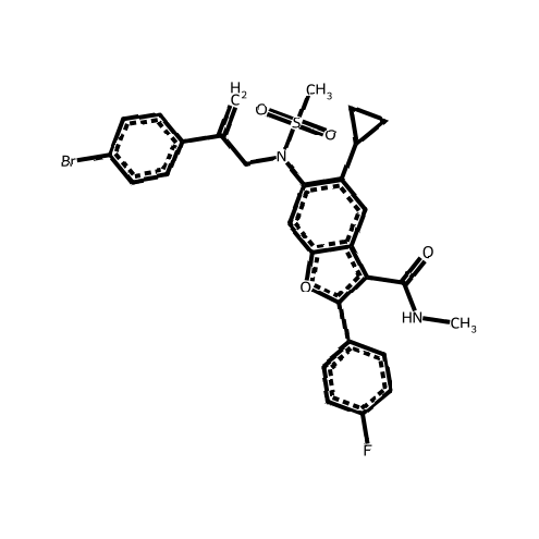 C=C(CN(c1cc2oc(-c3ccc(F)cc3)c(C(=O)NC)c2cc1C1CC1)S(C)(=O)=O)c1ccc(Br)cc1